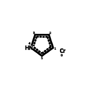 [Cr].c1cc[nH]c1